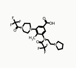 Cc1c(N2CCN(C(=O)C(F)(F)F)CC2)cc(C(=O)O)cc1N(CCN1CCCC1)C(=O)C(F)(F)F